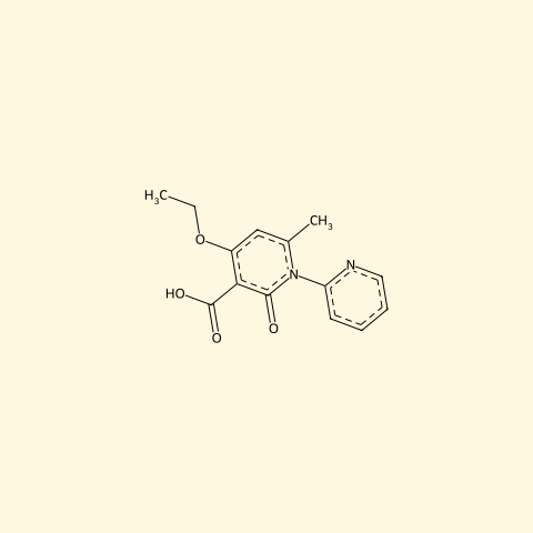 CCOc1cc(C)n(-c2ccccn2)c(=O)c1C(=O)O